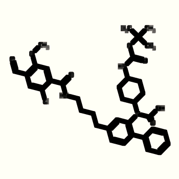 COc1cc(C(=O)NCCCCc2ccc(-c3ccccc3)c(N(C(=O)O)C3CCC(NC(=O)OC(C)(C)C)CC3)c2)c(Cl)cc1C=O